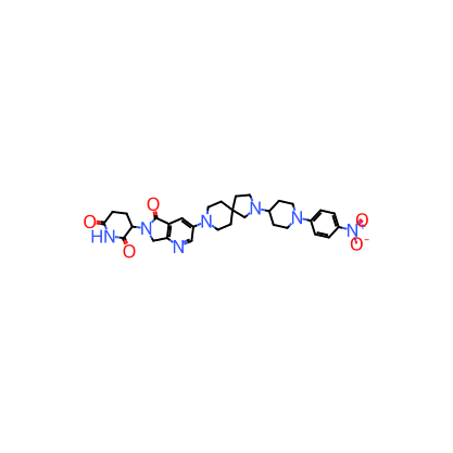 O=C1CCC(N2Cc3ncc(N4CCC5(CC4)CCN(C4CCN(c6ccc([N+](=O)[O-])cc6)CC4)C5)cc3C2=O)C(=O)N1